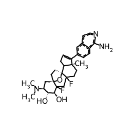 CN(C)[C@H]1C[C@@]23CC[C@]4(O2)C2CC=C(c5ccc6c(N)nccc6c5)[C@@]2(C)CCC4(F)CC3(F)[C@@H](O)[C@@H]1O